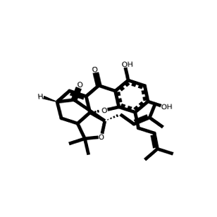 CC(C)=CCc1c(O)cc(O)c2c1O[C@@]13C(=C[C@H]4CC1C(C)(C)O[C@]3(CC=C(C)C)C4=O)C2=O